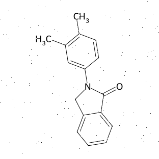 Cc1ccc(N2Cc3ccccc3C2=O)cc1C